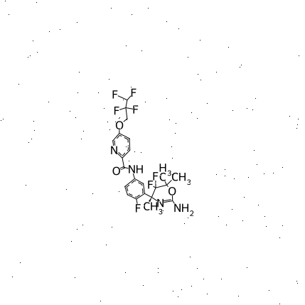 CC1(C)OC(N)=N[C@](C)(c2cc(NC(=O)c3ccc(OCC(F)(F)C(F)F)cn3)ccc2F)C1(F)F